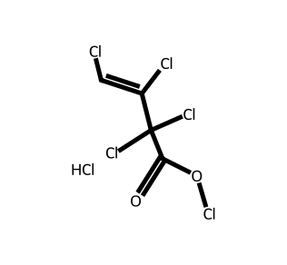 Cl.O=C(OCl)C(Cl)(Cl)C(Cl)=CCl